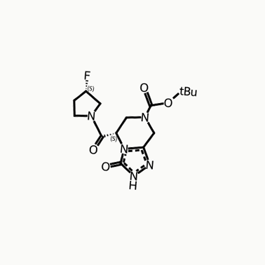 CC(C)(C)OC(=O)N1Cc2n[nH]c(=O)n2[C@H](C(=O)N2CC[C@H](F)C2)C1